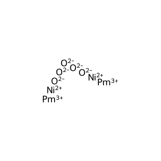 [Ni+2].[Ni+2].[O-2].[O-2].[O-2].[O-2].[O-2].[Pm+3].[Pm+3]